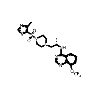 Cc1ncsc1S(=O)(=O)N1CCN(C[C@H](C)Nc2ncnc3c(OC(F)(F)F)cccc23)CC1